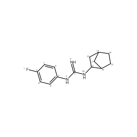 N=C(Nc1ccc(F)cc1)NC1CC2CCC1C2